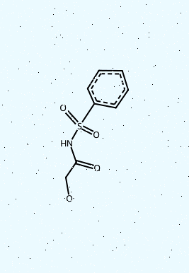 [O]CC(=O)NS(=O)(=O)c1ccccc1